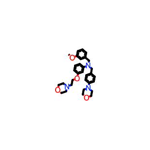 COc1cccc(CN(Cc2ccc(N3CCOCC3)cc2)c2cccc(OCCN3CCOCC3)c2)c1